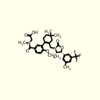 COc1ccc(C(=O)N(C)CC(=O)O)cc1C1=C(CN2C(=O)O[C@H](c3cc(C)cc(C(F)(F)F)c3)[C@@H]2C)CC(C)(C)CC1